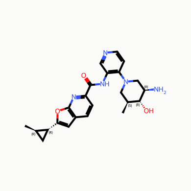 C[C@@H]1C[C@H]1c1cc2ccc(C(=O)Nc3cnccc3N3C[C@@H](N)[C@H](O)[C@@H](C)C3)nc2o1